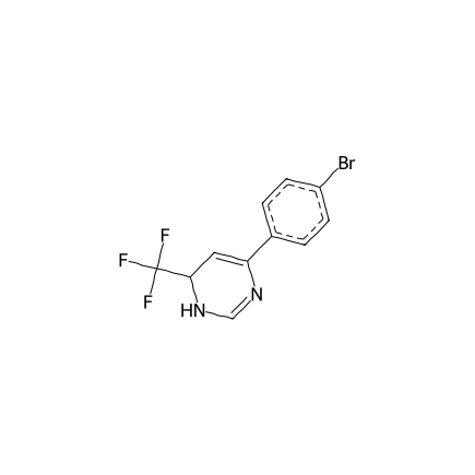 FC(F)(F)C1C=C(c2ccc(Br)cc2)N=CN1